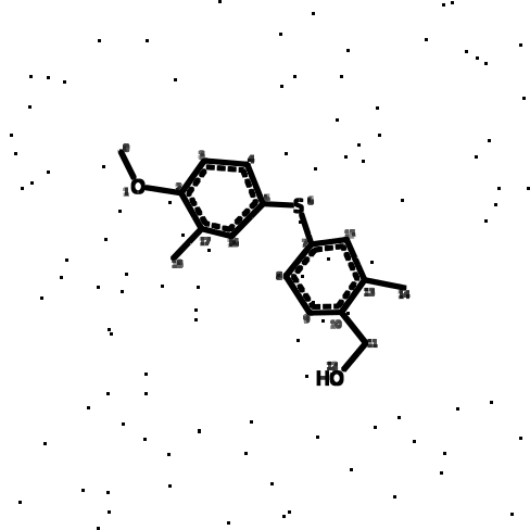 COc1ccc(Sc2ccc(CO)c(C)c2)cc1C